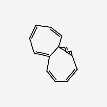 C1=CC=C2C=CC=CC3=CC=CC23C=C1